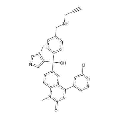 C#CCNCc1ccc(C(O)(c2ccc3c(c2)c(-c2cccc(Cl)c2)cc(=O)n3C)c2cncn2C)cc1